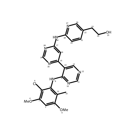 COc1cc(OC)c(Cl)c(Nc2ncncc2-c2cc(Nc3ccc(CCO)cn3)ncn2)c1C